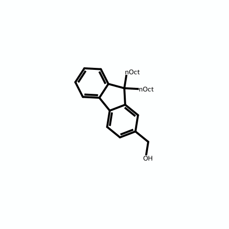 CCCCCCCCC1(CCCCCCCC)c2ccccc2-c2ccc(CO)cc21